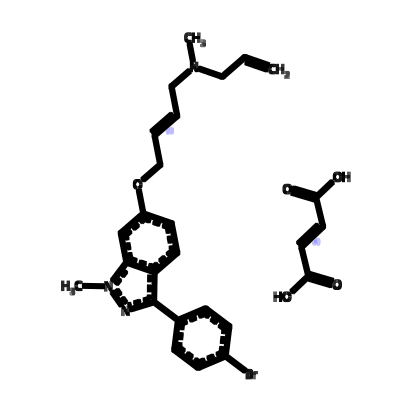 C=CCN(C)C/C=C/COc1ccc2c(-c3ccc(Br)cc3)nn(C)c2c1.O=C(O)/C=C/C(=O)O